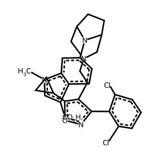 Cn1cc(C(=O)O)c2ccc(N3C4CCC3CN(CCc3c(-c5c(Cl)cccc5Cl)noc3C3CC3)C4)cc21